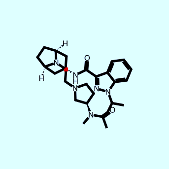 CC(=O)N(C)[C@@H]1CCN(CCN2[C@@H]3CC[C@H]2C[C@H](NC(=O)c2nn(C(C)C)c4ccccc24)C3)C1